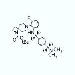 CN(C)S(=O)(=O)c1ccc(S(=O)(=O)Nc2cccc(F)c2N2CCC3(CC2)CCN3C(=O)OC(C)(C)C)cc1